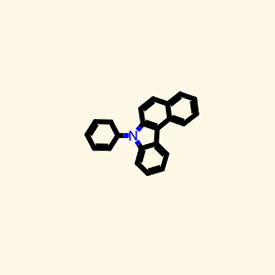 C1=CCC(n2c3ccccc3c3c4ccccc4ccc32)C=C1